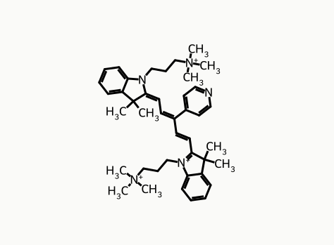 CC1(C)C(/C=C/C(=C/C=C2/N(CCC[N+](C)(C)C)c3ccccc3C2(C)C)c2ccncc2)=[N+](CCC[N+](C)(C)C)c2ccccc21